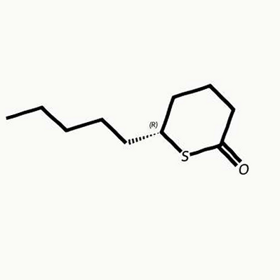 CCCCC[C@@H]1CCCC(=O)S1